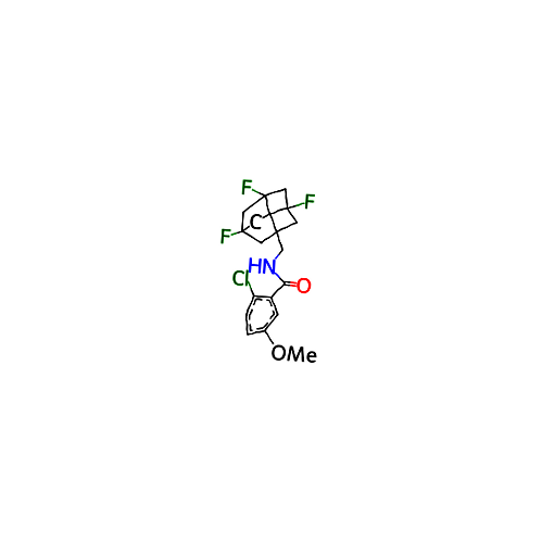 COc1ccc(Cl)c(C(=O)NCC23CC4(F)CC5(F)CC(F)(C2)C53C4)c1